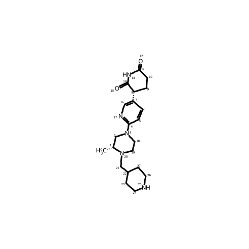 C[C@@H]1CN(c2ccc([C@H]3CCC(=O)NC3=O)cn2)CCN1CC1CCNCC1